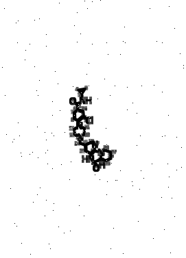 O=C(NC1CC1)c1ccc(N2CCN(Cc3cnc4c(c3)NC(=O)[C@@H]3CCCCN43)CC2)c(Cl)c1